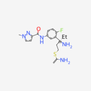 C=C(N)SCC[C@@](N)(CC)c1cc(NC(=O)c2ccn(C)n2)ccc1F